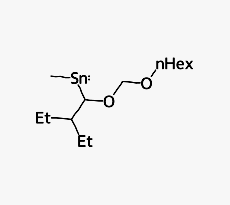 CCCCCCOCO[CH]([Sn][CH3])C(CC)CC